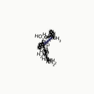 CCC1(CCCC(=O)NC(=O)[C@@H](N)CCCNC(N)N)C(/C=C/C=C/C=C/C=C2/N(C)c3ccc4ccccc4c3C2(C)CCCC(=O)O)=[N+](C)c2ccc3ccccc3c21